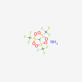 N.O=S(=O)(C(S(=O)(=O)C(F)(F)F)S(=O)(=O)C(F)(F)F)C(F)(F)F